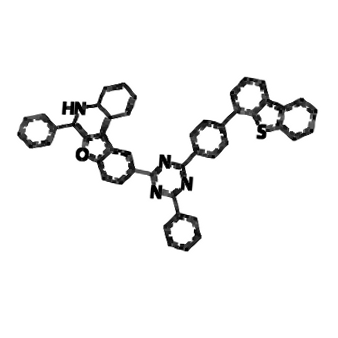 C1=CC2=c3c(oc4ccc(-c5nc(-c6ccccc6)nc(-c6ccc(-c7cccc8c7sc7ccccc78)cc6)n5)cc34)=C(c3ccccc3)NC2C=C1